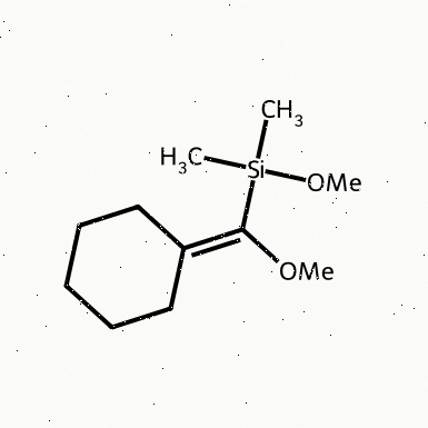 COC(=C1CCCCC1)[Si](C)(C)OC